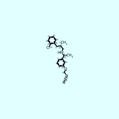 C[C@H](CN[C@@H](C)c1cccc(OCN=[N+]=[N-])c1)Cc1ccccc1Cl